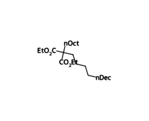 CCCCCCCCCCCCCCC(CCCCCCCC)(C(=O)OCC)C(=O)OCC